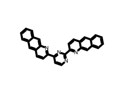 c1ccc2cc3nc(-c4ccnc(-c5ccc6cc7ccccc7cc6n5)n4)ccc3cc2c1